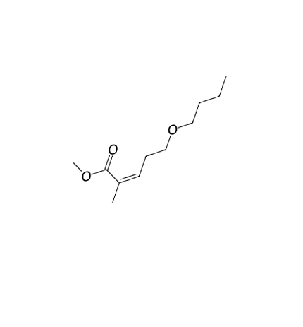 CCCCOCCC=C(C)C(=O)OC